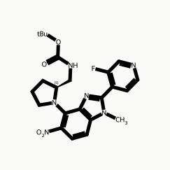 Cn1c(-c2ccncc2F)nc2c(N3CCC[C@H]3CNC(=O)OC(C)(C)C)c([N+](=O)[O-])ccc21